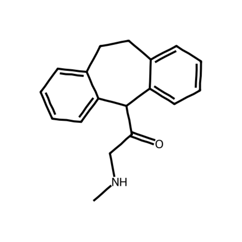 CNCC(=O)C1c2ccccc2CCc2ccccc21